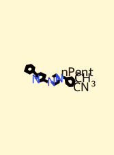 CCCCCC(c1ccc(C#N)c(C)c1)N1CCN(Cc2ccc(-c3ccccc3)nc2)CC1